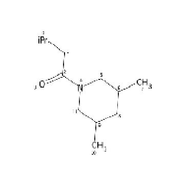 CC(C)CC(=O)N1CC(C)CC(C)C1